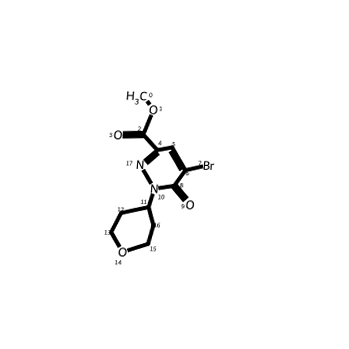 COC(=O)c1cc(Br)c(=O)n(C2CCOCC2)n1